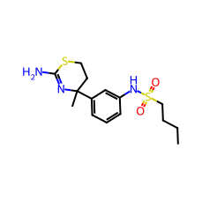 CCCCS(=O)(=O)Nc1cccc(C2(C)CCSC(N)=N2)c1